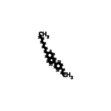 CCCCCCCCC1CCc2cc([C@H]3CC[C@H](CCC)CC3)ccc2C1